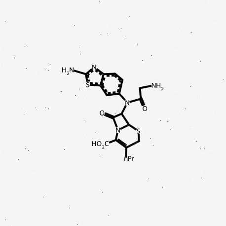 CCCC1=C(C(=O)O)N2C(=O)C(N(C(=O)CN)c3ccc4nc(N)sc4c3)C2SC1